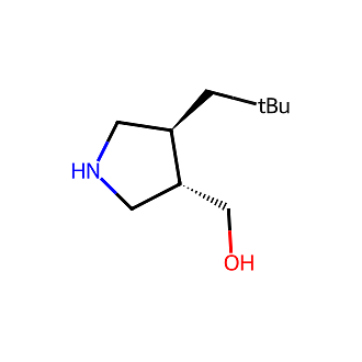 CC(C)(C)C[C@@H]1CNC[C@H]1CO